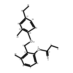 CCC(=S)Oc1cccc(C)c1COc1ccc(CC)cc1C